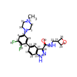 CN1CCN(c2cc(F)c(F)c(-c3ccc4[nH]nc(C(=O)NCC5COC5)c4c3)c2)CC1